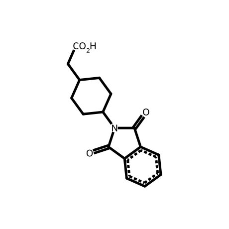 O=C(O)CC1CCC(N2C(=O)c3ccccc3C2=O)CC1